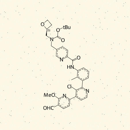 COc1nc(-c2ccnc(-c3cccc(NC(=O)c4ccc(CN(C[C@@H]5CCO5)C(=O)OC(C)(C)C)cn4)c3C)c2Cl)ccc1C=O